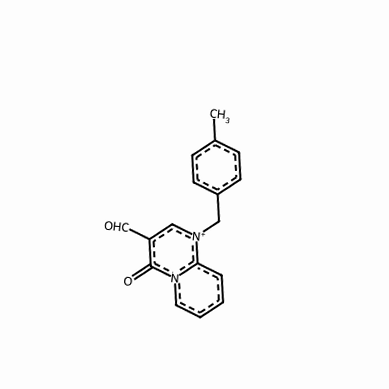 Cc1ccc(C[n+]2cc(C=O)c(=O)n3ccccc32)cc1